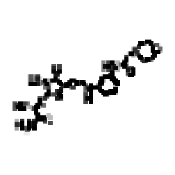 CCn1c(=C=C(C#N)C(N)=O)sc(=C=CNc2cccc(NC(=O)CN3CCOCC3)c2)c1=O